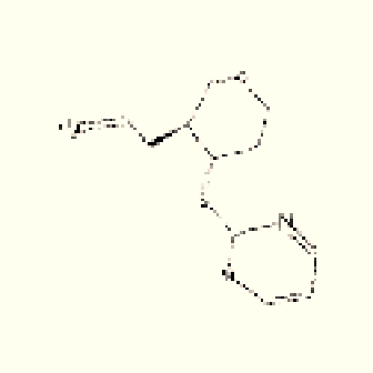 C=CC[C@H]1COCC[C@@H]1Sc1ncccn1